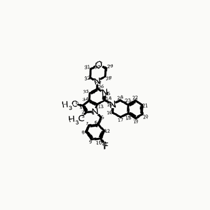 Cc1c(C)n(Cc2cccc(F)c2)c2c(N3CCc4ccccc4C3)nc(N3CCOCC3)cc12